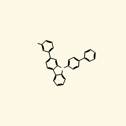 Cc1cccc(-c2ccc3c4ccccc4n(-c4ccc(-c5ccccc5)cc4)c3c2)c1